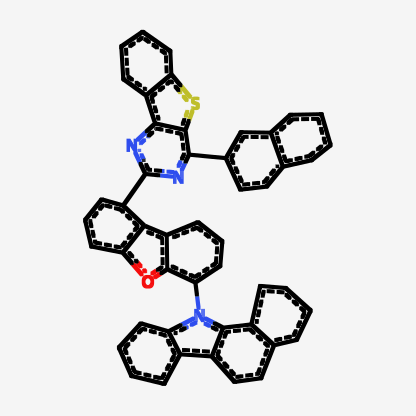 c1ccc2cc(-c3nc(-c4cccc5oc6c(-n7c8ccccc8c8ccc9ccccc9c87)cccc6c45)nc4c3sc3ccccc34)ccc2c1